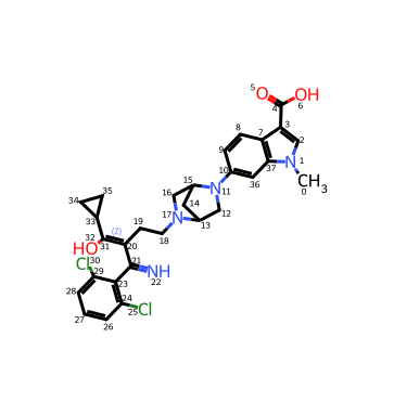 Cn1cc(C(=O)O)c2ccc(N3CC4CC3CN4CC/C(C(=N)c3c(Cl)cccc3Cl)=C(/O)C3CC3)cc21